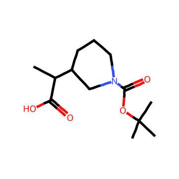 CC(C(=O)O)C1CCCN(C(=O)OC(C)(C)C)C1